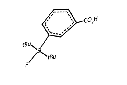 CC(C)(C)[Si](F)(c1cccc(C(=O)O)c1)C(C)(C)C